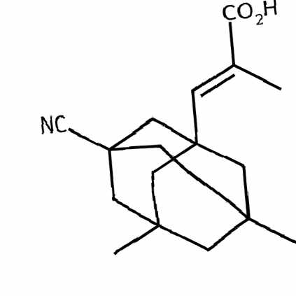 CC(=CC12CC3(C)CC(C)(CC(C#N)(C3)C1)C2)C(=O)O